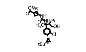 COC(=O)C12CC(NC(=O)N[C@@](C)(c3ccc([C@@H]4C[C@H]4C(C)(C)C)c(Cl)c3)C(CO)C(C)C)(C1)C2